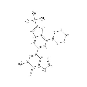 Cn1cc(-c2nc(N3CCOCC3)c3sc(C(C)(C)O)cc3n2)c2cc[nH]c2c1=O